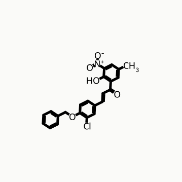 Cc1cc(C(=O)C=Cc2ccc(OCc3ccccc3)c(Cl)c2)c(O)c([N+](=O)[O-])c1